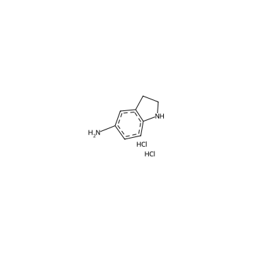 Cl.Cl.Nc1ccc2c(c1)CCN2